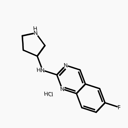 Cl.Fc1ccc2nc(NC3CCNC3)ncc2c1